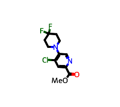 COC(=O)c1cc(Cl)c(N2CCC(F)(F)CC2)cn1